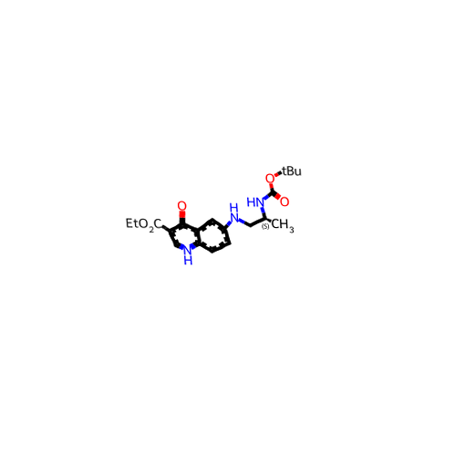 CCOC(=O)c1c[nH]c2ccc(NC[C@H](C)NC(=O)OC(C)(C)C)cc2c1=O